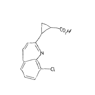 O=C(O)C1CC1c1ccc2cccc(Cl)c2n1